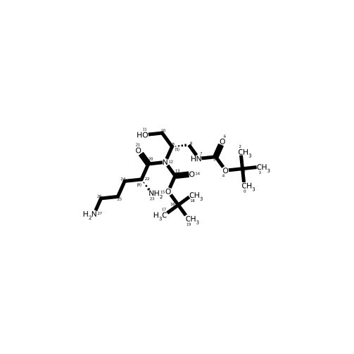 CC(C)(C)OC(=O)NC[C@@H](CO)N(C(=O)OC(C)(C)C)C(=O)[C@H](N)CCCN